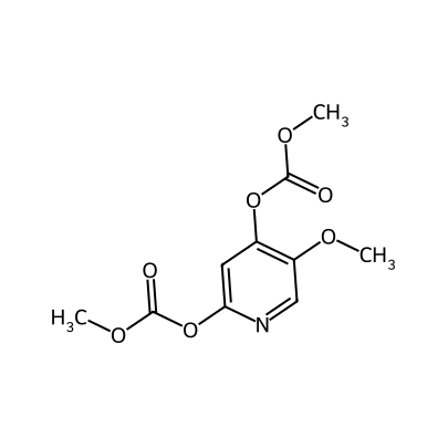 COC(=O)Oc1cc(OC(=O)OC)c(OC)cn1